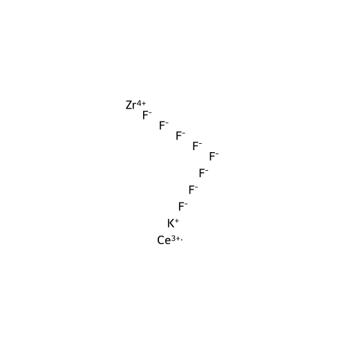 [Ce+3].[F-].[F-].[F-].[F-].[F-].[F-].[F-].[F-].[K+].[Zr+4]